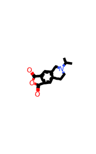 CC(C)N1CCc2cc3c(cc2C1)C(=O)OC3=O